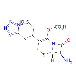 N[C@@H]1C(=O)N2C(OC(=O)O)=C(C(CS(=O)(=O)O)Sc3nnn[nH]3)CS[C@@H]12